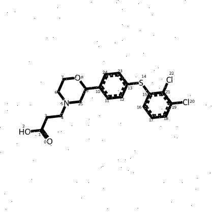 O=C(O)CCN1CCOC(c2ccc(Sc3cccc(Cl)c3Cl)cc2)C1